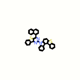 c1ccc2c(-c3nc(-n4c5ccccc5c5c6c(ccc54)sc4ccccc46)nc4c3sc3ccccc34)cccc2c1